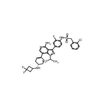 CC(C)n1nc(-c2ccc(NS(=O)(=O)Cc3ccccc3Cl)c(F)c2)c2c(N)ncc(C3=CC[C@@H](NC4CC(F)(F)C4)CC3)c21